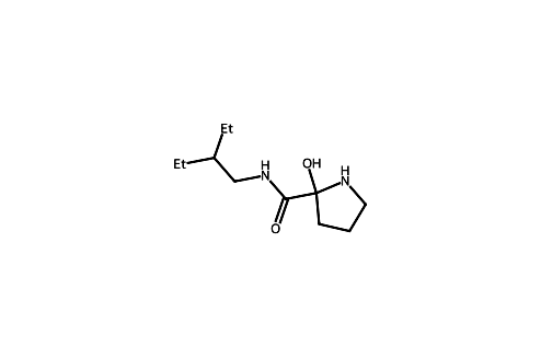 CC[C](CC)CNC(=O)C1(O)CCCN1